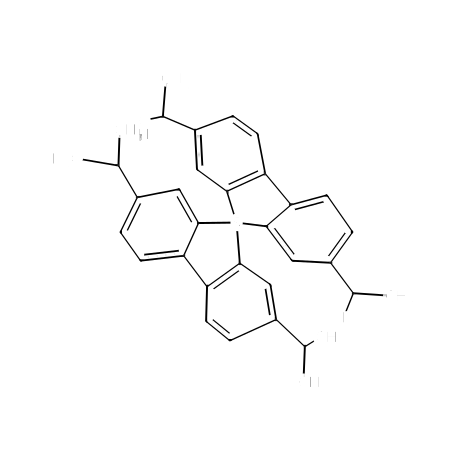 CC(C)c1ccc2c(c1)S1(c3cc(C(C)C)ccc3-2)c2cc(C(C)C)ccc2-c2ccc(C(C)I)cc21